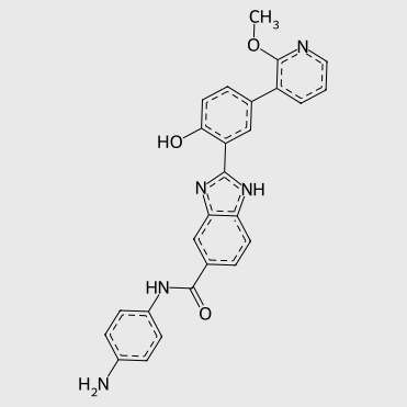 COc1ncccc1-c1ccc(O)c(-c2nc3cc(C(=O)Nc4ccc(N)cc4)ccc3[nH]2)c1